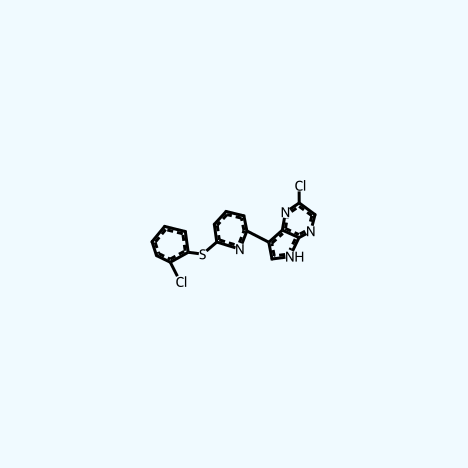 Clc1cnc2[nH]cc(-c3cccc(Sc4ccccc4Cl)n3)c2n1